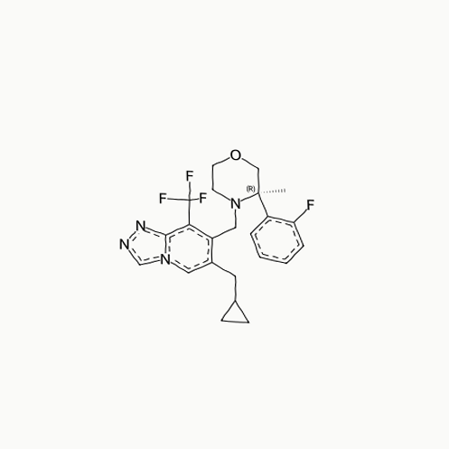 C[C@@]1(c2ccccc2F)COCCN1Cc1c(CC2CC2)cn2cnnc2c1C(F)(F)F